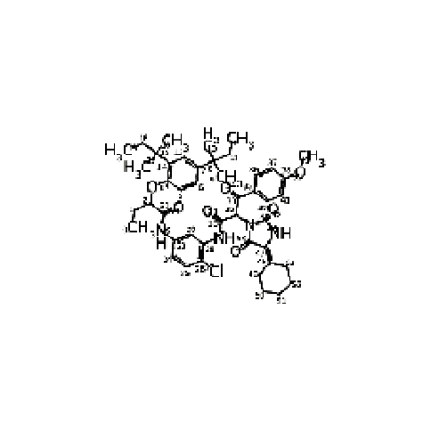 CCC(Oc1ccc(C(C)(C)CC)cc1C(C)(C)CC)C(=O)Nc1ccc(Cl)c(NC(=O)C(C(=O)c2ccc(OC)cc2)N2C(=O)NC(=C3CCCCC3)C2=O)c1